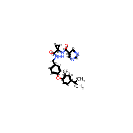 C=C(C)c1ccc(Oc2ccc(CNC(=O)C3(NC(=O)c4cncnc4)CC3)cc2)c(C(F)(F)F)c1